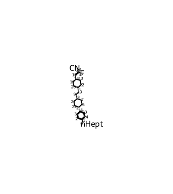 CCCCCCCc1ccc([C@H]2CC[C@H](CC[C@H]3CC[C@H](C=C(F)C#N)CC3)CC2)cc1